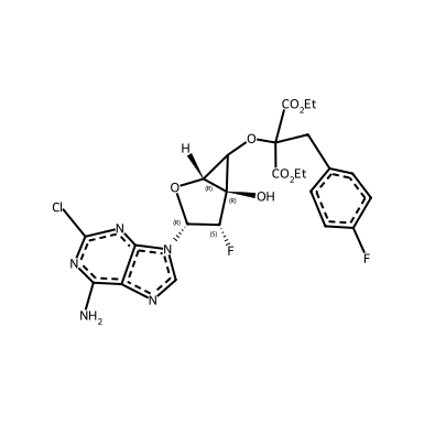 CCOC(=O)C(Cc1ccc(F)cc1)(OC1[C@H]2O[C@@H](n3cnc4c(N)nc(Cl)nc43)[C@@H](F)[C@@]12O)C(=O)OCC